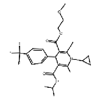 COCCOC(=O)C1=C(C)N(C2CC2)C(C)=C(C(=O)OC(C)C)C1c1ccc(C(F)(F)F)cc1